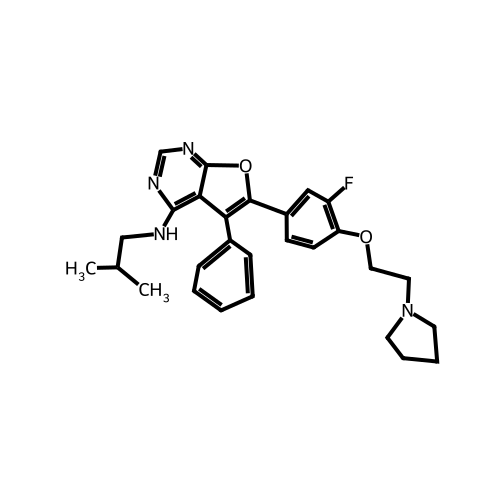 CC(C)CNc1ncnc2oc(-c3ccc(OCCN4CCCC4)c(F)c3)c(-c3ccccc3)c12